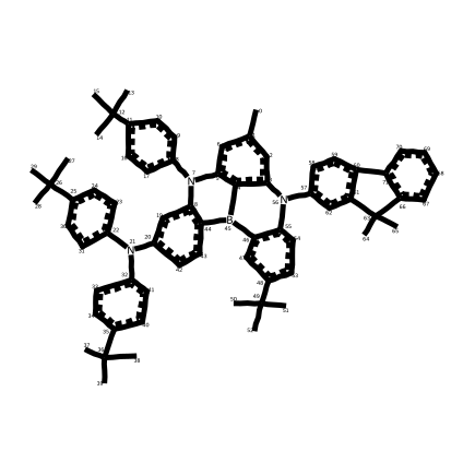 Cc1cc2c3c(c1)N(c1ccc(C(C)(C)C)cc1)c1cc(N(c4ccc(C(C)(C)C)cc4)c4ccc(C(C)(C)C)cc4)ccc1B3c1cc(C(C)(C)C)ccc1N2c1ccc2c(c1)C(C)(C)c1ccccc1-2